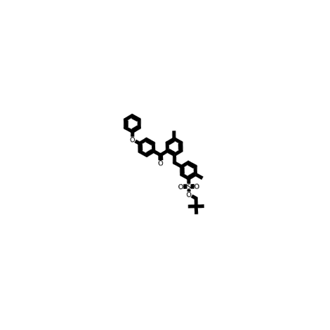 Cc1ccc(Cc2ccc(C)c(S(=O)(=O)OCC(C)(C)C)c2)c(C(=O)c2ccc(Oc3ccccc3)cc2)c1